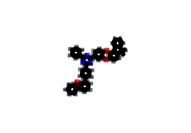 CC1(C)c2ccccc2-c2c1ccc1c2Oc2ccc(-c3nc(-c4ccccc4)nc(-c4ccc(-c5cccc6c5oc5ccccc56)cc4)n3)cc2O1